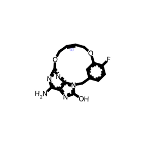 Nc1nc2nc3c1nc(O)n3Cc1ccc(F)c(c1)OC/C=C\CO2